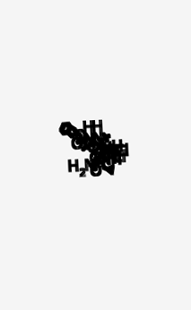 CC(C)[C@H](NC(=O)N[C@H](C(=O)N1C[C@H]2[C@@H]([C@H]1C(=O)NC(CC1CC1)C(=O)C(N)=O)C2(Cl)Cl)C(C)(C)C)C(=O)OC1Cc2ccccc2C1